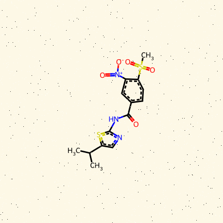 CC(C)c1cnc(NC(=O)c2ccc(S(C)(=O)=O)c([N+](=O)[O-])c2)s1